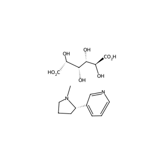 CN1CCC[C@H]1c1cccnc1.O=C(O)[C@@H](O)[C@@H](O)[C@H](O)[C@@H](O)C(=O)O